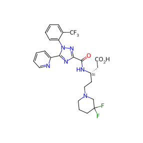 O=C(O)C[C@H](CCN1CCCC(F)(F)C1)NC(=O)c1nc(-c2ccccn2)n(-c2ccccc2C(F)(F)F)n1